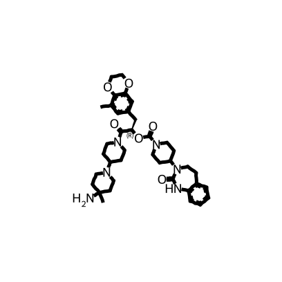 Cc1cc(C[C@@H](OC(=O)N2CCC(N3CCc4ccccc4NC3=O)CC2)C(=O)N2CCC(N3CCC(C)(N)CC3)CC2)cc2c1OCCO2